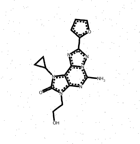 Nc1nc2c(c3nc(-c4ccco4)nn13)n(C1CC1)c(=O)n2CCO